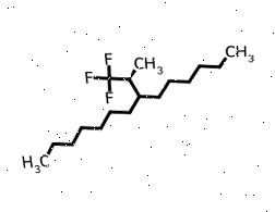 CCCCCCCC(CCCCCC)[C@H](C)C(F)(F)F